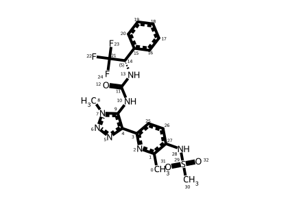 Cc1nc(-c2nnn(C)c2NC(=O)N[C@@H](c2ccccc2)C(F)(F)F)ccc1NS(C)(=O)=O